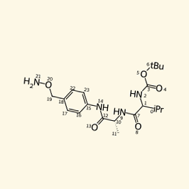 CC(C)C(NC(=O)OC(C)(C)C)C(=O)N[C@H](C)C(=O)Nc1ccc(CON)cc1